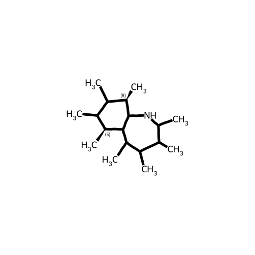 CC1NC2C(C(C)C(C)C1C)[C@@H](C)C(C)C(C)[C@H]2C